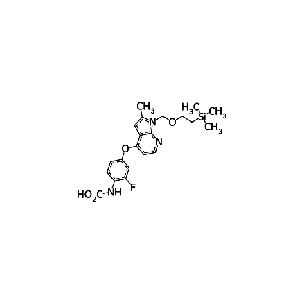 Cc1cc2c(Oc3ccc(NC(=O)O)c(F)c3)ccnc2n1COCC[Si](C)(C)C